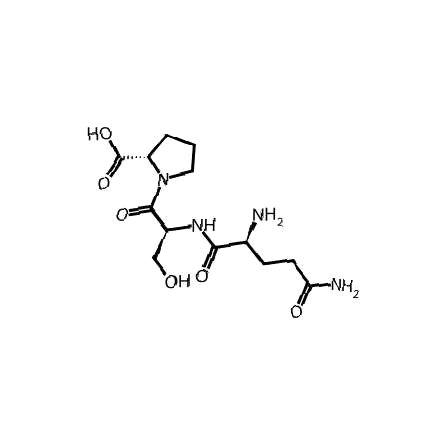 NC(=O)CC[C@H](N)C(=O)N[C@@H](CO)C(=O)N1CCC[C@H]1C(=O)O